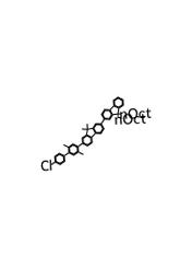 CCCCCCCCC1(CCCCCCCC)c2ccccc2-c2ccc(-c3ccc4c(c3)C(C)(C)c3cc(-c5cc(C)c(-c6ccc(Cl)cc6)cc5C)ccc3-4)cc21